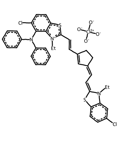 CCN1C(=CC=C2C=C(C=Cc3sc4ccc(Cl)c(N(c5ccccc5)c5ccccc5)c4[n+]3CC)CC2)Sc2ccc(Cl)cc21.[O-][Cl+3]([O-])([O-])[O-]